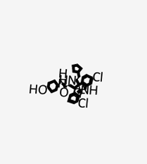 O=C(NC1CCC(O)CC1)[C@@H]1N[C@@H](CC2CCCC2)[C@@]2(C(=O)Nc3cc(Cl)ccc32)[C@H]1c1cccc(Cl)c1F